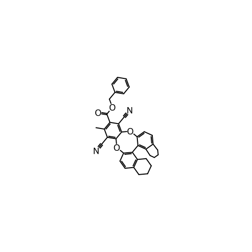 Cc1c(C(=O)OCc2ccccc2)c(C#N)c2oc3ccc4c(c3c3c5c(ccc3oc2c1C#N)CCCC5)CCCC4